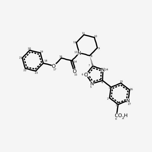 O=C(O)c1cc(-c2noc([C@H]3CCCCN3C(=O)COc3ccccc3)n2)ccn1